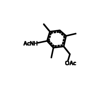 CC(=O)Nc1c(C)cc(C)c(COC(C)=O)c1C